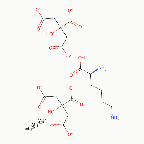 NCCCC[C@H](N)C(=O)O.O=C([O-])CC(O)(CC(=O)[O-])C(=O)[O-].O=C([O-])CC(O)(CC(=O)[O-])C(=O)[O-].[Mg+2].[Mg+2].[Mg+2]